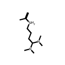 C=C(C)[SiH2]CCCC(N(C)C)N(C)C